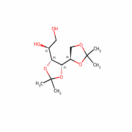 CC1(C)O[C@@H]([C@H]2COC(C)(C)O2)[C@@H]([C@@H](O)CO)O1